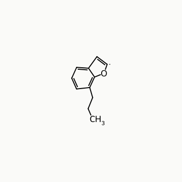 CCCc1cccc2c[c]oc12